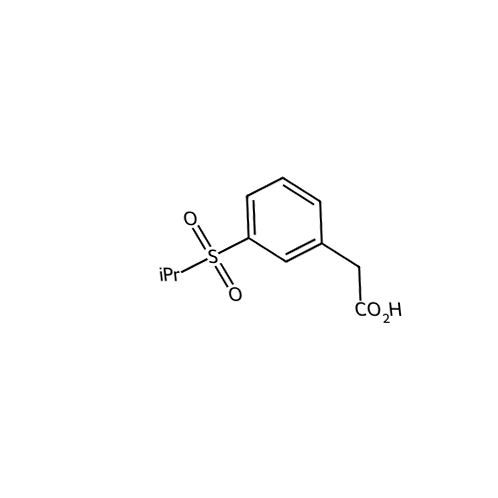 CC(C)S(=O)(=O)c1cccc(CC(=O)O)c1